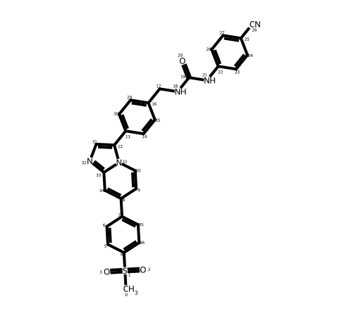 CS(=O)(=O)c1ccc(-c2ccn3c(-c4ccc(CNC(=O)Nc5ccc(C#N)cc5)cc4)cnc3c2)cc1